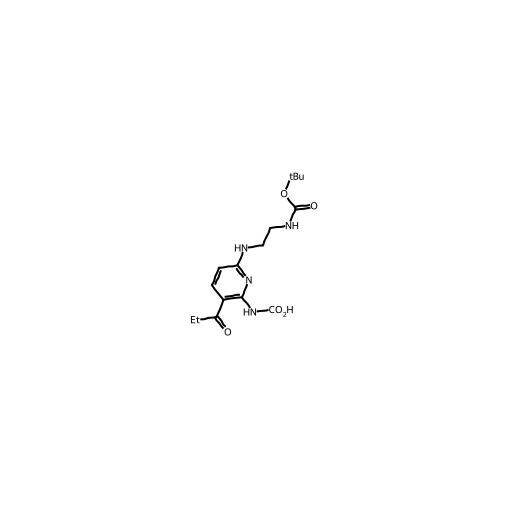 CCC(=O)c1ccc(NCCNC(=O)OC(C)(C)C)nc1NC(=O)O